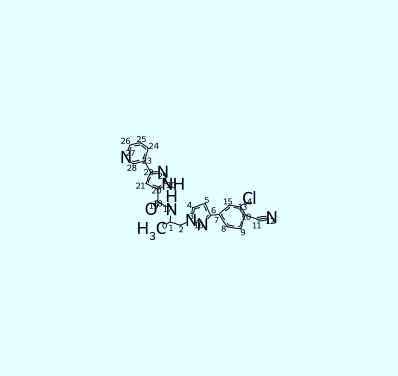 CC(Cn1ccc(-c2ccc(C#N)c(Cl)c2)n1)NC(=O)c1cc(-c2cccnc2)n[nH]1